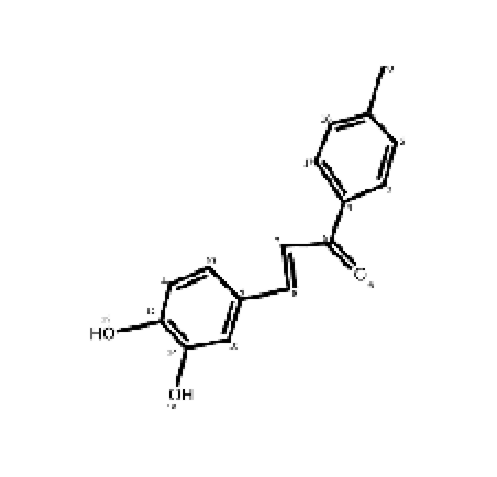 Cc1ccc(C(=O)/C=C/c2ccc(O)c(O)c2)cc1